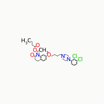 CCCC(=O)OC(C)N1C(=O)CCc2ccc(OCCCCN3CCN(c4cccc(Cl)c4Cl)CC3)cc21